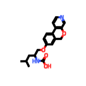 CC(C)CC(COc1ccc2c(c1)COc1cnccc1-2)NC(=O)O